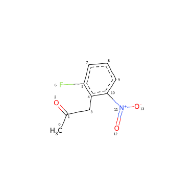 CC(=O)Cc1c(F)cccc1[N+](=O)[O-]